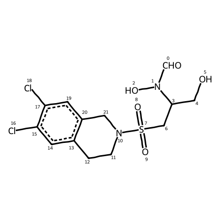 O=CN(O)C(CO)CS(=O)(=O)N1CCc2cc(Cl)c(Cl)cc2C1